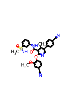 COc1cc(C#N)ccc1Oc1ncc(-c2ccc(C#N)cc2)c(C)c1C(=O)Nc1cccc([S@](C)(=N)=O)c1